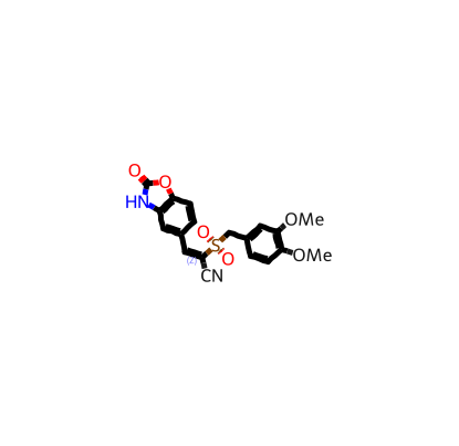 COc1ccc(CS(=O)(=O)/C(C#N)=C\c2ccc3oc(=O)[nH]c3c2)cc1OC